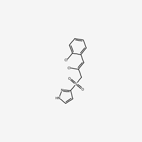 O=S(=O)(CC(Cl)=Cc1ccccc1Cl)c1cc[nH]n1